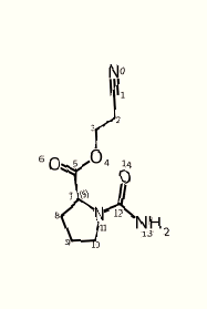 N#CCCOC(=O)[C@@H]1CCCN1C(N)=O